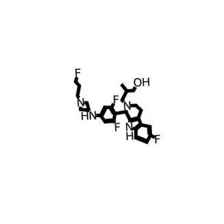 CC(CO)CN1CCc2c([nH]c3ccc(F)cc23)C1c1c(F)cc(NC2CN(CCCF)C2)cc1F